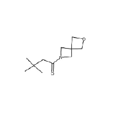 CC(C)(C)CC(=O)N1CC2(COC2)C1